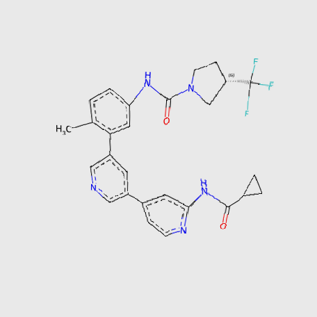 Cc1ccc(NC(=O)N2CC[C@H](C(F)(F)F)C2)cc1-c1cncc(-c2ccnc(NC(=O)C3CC3)c2)c1